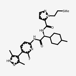 CSCCn1nccc1C(=O)N[C@H](C(=O)Nc1ccc(-c2c(C)n[nH]c2C)c(F)n1)C1CCC(C)CC1